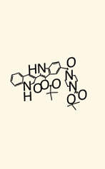 CC(C)(C)OC(=O)N1CCN(C(=O)c2ccc3[nH]c(-c4cc5ccccc5[nH]c4=O)c(OC(=O)C(C)(C)C)c3c2)CC1